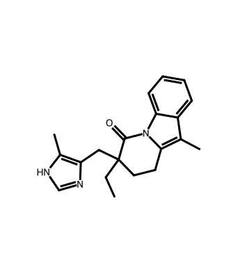 CCC1(Cc2nc[nH]c2C)CCc2c(C)c3ccccc3n2C1=O